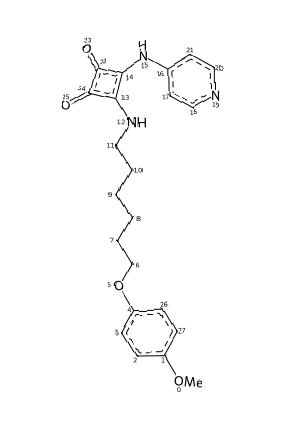 COc1ccc(OCCCCCCNc2c(Nc3ccncc3)c(=O)c2=O)cc1